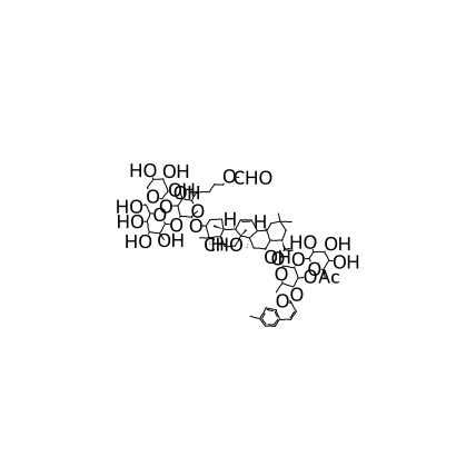 C=C(OC1OC(C)C(OC(=O)/C=C\c2ccc(C)cc2)C(OC(C)=O)C1OC1OC(C)C(O)C(O)C1O)[C@@H]1CC(C)(C)C[C@@H]2C1[C@H](O)C[C@]1(C)C2C=C[C@@H]2[C@@]3(C)CC[C@H](OC4OC(CCCCOC=O)C(O)C(OC5OCC(O)C(O)C5O)C4OC4OC(CO)C(O)C(O)C4O)[C@@](C)(C=O)[C@@H]3CC[C@]21C